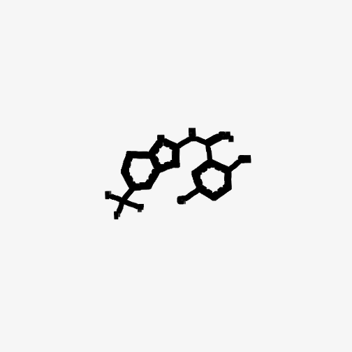 C=C(Nc1nc2ccc(C(F)(F)F)cc2s1)c1cc(Cl)ccc1O